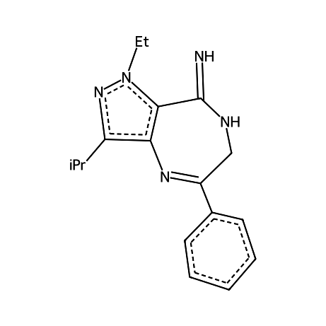 CCn1nc(C(C)C)c2c1C(=N)NCC(c1ccccc1)=N2